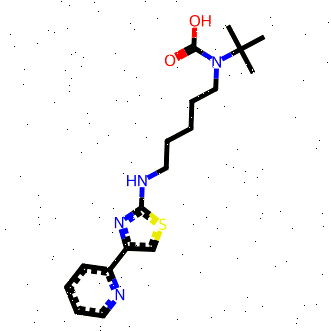 CC(C)(C)N(CCCCCNc1nc(-c2ccccn2)cs1)C(=O)O